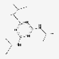 CC(C)Nc1nc(NC(C)C)nc(NC(C)C)n1